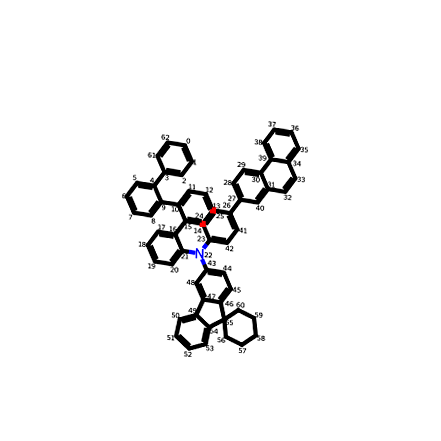 c1ccc(-c2ccccc2-c2ccccc2-c2ccccc2N(c2ccc(-c3ccc4c(ccc5ccccc54)c3)cc2)c2ccc3c(c2)-c2ccccc2C32CCCCC2)cc1